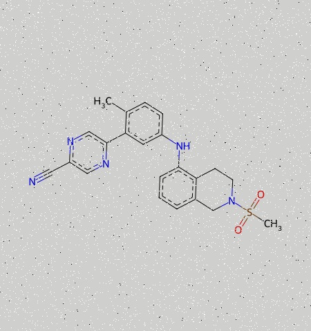 Cc1ccc(Nc2cccc3c2CCN(S(C)(=O)=O)C3)cc1-c1cnc(C#N)cn1